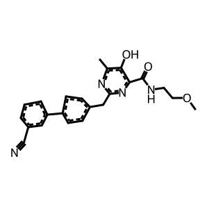 COCCNC(=O)c1nc(Cc2ccc(-c3cccc(C#N)c3)cc2)nc(C)c1O